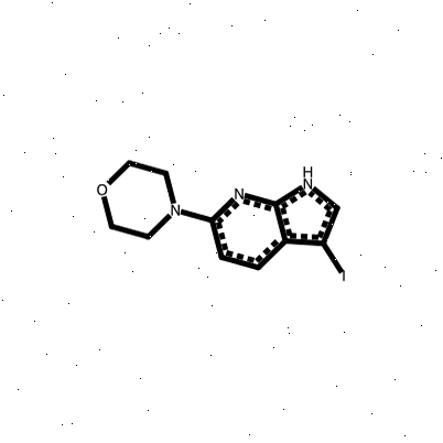 Ic1c[nH]c2nc(N3CCOCC3)ccc12